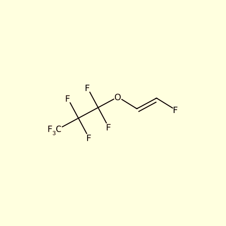 FC=COC(F)(F)C(F)(F)C(F)(F)F